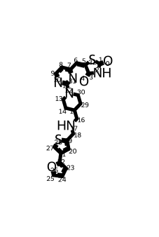 O=C1NC(=O)/C(=C\c2ccnc(N3CCC(CNCc4cc(-c5ccco5)cs4)CC3)n2)S1